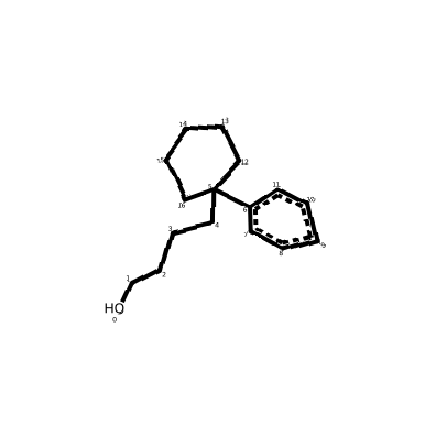 OCCCCC1(c2ccccc2)CCCCC1